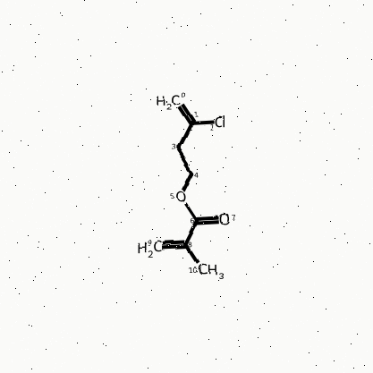 C=C(Cl)CCOC(=O)C(=C)C